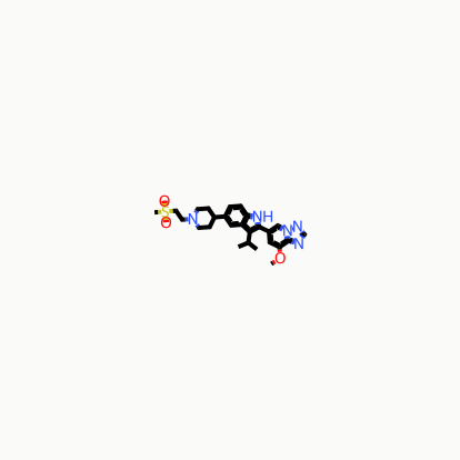 COc1cc(-c2[nH]c3ccc(C4CCN(CCS(C)(=O)=O)CC4)cc3c2C(C)C)cn2ncnc12